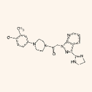 Cc1cc(N2CCN(C(=O)Cn3nc(C4=NCCN4)c4cccnc43)CC2)ccc1Cl